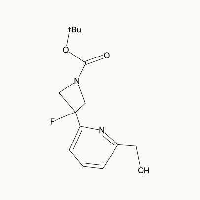 CC(C)(C)OC(=O)N1CC(F)(c2cccc(CO)n2)C1